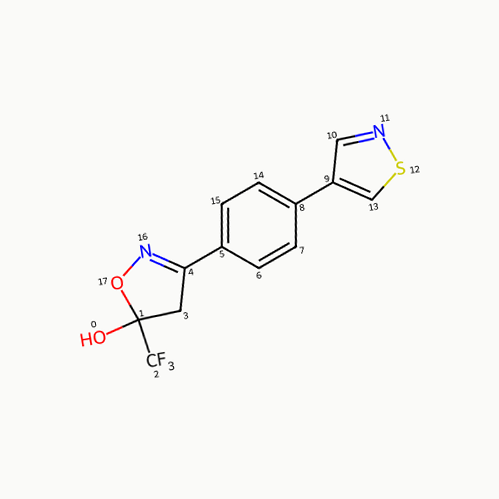 OC1(C(F)(F)F)CC(c2ccc(-c3cnsc3)cc2)=NO1